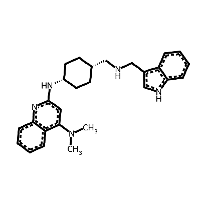 CN(C)c1cc(N[C@H]2CC[C@@H](CNCc3c[nH]c4ccccc34)CC2)nc2ccccc12